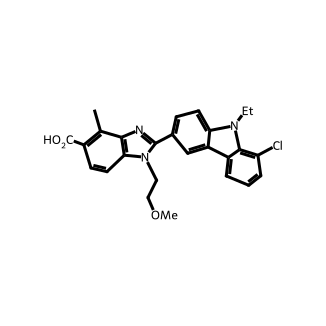 CCn1c2ccc(-c3nc4c(C)c(C(=O)O)ccc4n3CCOC)cc2c2cccc(Cl)c21